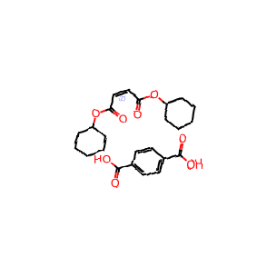 O=C(/C=C\C(=O)OC1CCCCC1)OC1CCCCC1.O=C(O)c1ccc(C(=O)O)cc1